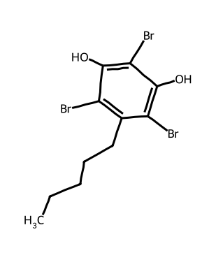 CCCCCc1c(Br)c(O)c(Br)c(O)c1Br